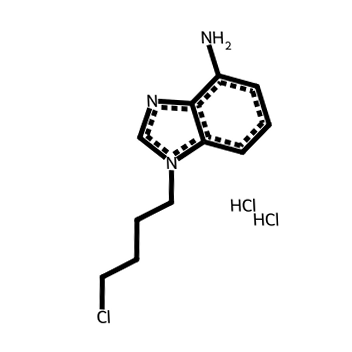 Cl.Cl.Nc1cccc2c1ncn2CCCCCl